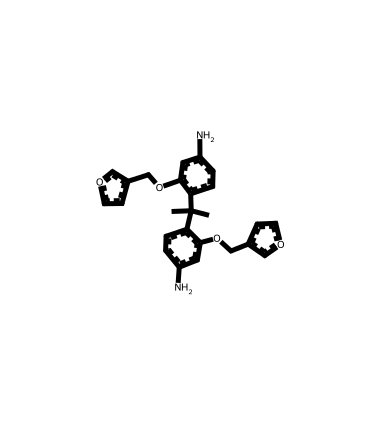 CC(C)(c1ccc(N)cc1OCc1ccoc1)c1ccc(N)cc1OCc1ccoc1